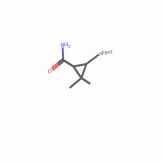 CCCCCC1C(C(N)=O)C1(C)C